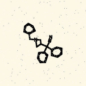 N#CC(c1ccccc1)(c1ccccc1)C1CN(Cc2ccccc2)C1